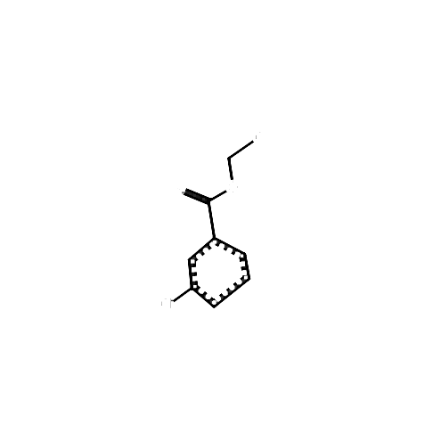 CCOC(=S)c1cccc(Cl)c1